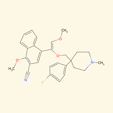 COC=C(OCC1(c2ccc(F)cc2)CCN(C)CC1)c1cc(C#N)c(OC)c2ccccc12